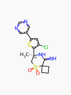 C[C@@]1(c2sc(-c3cncnc3)cc2Cl)CS(=O)(=O)C2(CCC2)C(=N)N1